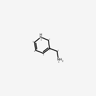 NCC1=CC=CNC1